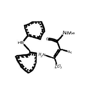 B(c1ccccc1)c1ccccc1.CNC(=O)/C(C(C)=O)=C(\N)C(Cl)(Cl)Cl